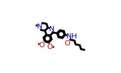 CCCCCC(=O)Nc1ccc(C2=NC3CCN(C)CC3c3cc(OC)c(OC)cc32)cc1